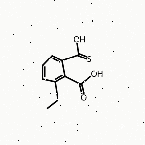 CCc1cccc(C(O)=S)c1C(=O)O